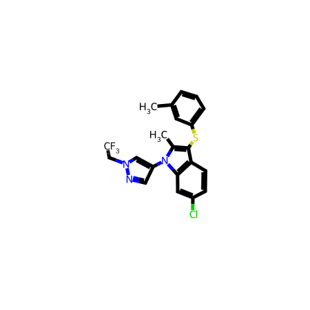 Cc1cccc(Sc2c(C)n(-c3cnn(CC(F)(F)F)c3)c3cc(Cl)ccc23)c1